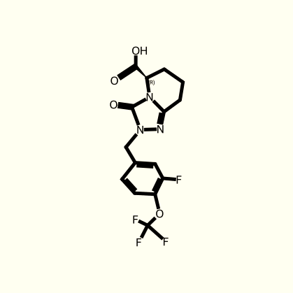 O=C(O)[C@H]1CCCc2nn(Cc3ccc(OC(F)(F)F)c(F)c3)c(=O)n21